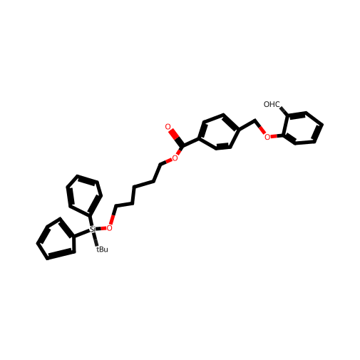 CC(C)(C)[Si](OCCCCCOC(=O)c1ccc(COc2ccccc2C=O)cc1)(c1ccccc1)c1ccccc1